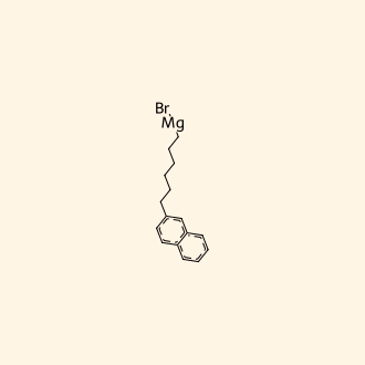 [Br][Mg][CH2]CCCCCc1ccc2ccccc2c1